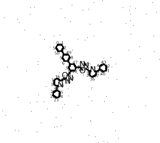 c1ccc(-c2ccc(-c3cc(-c4nnc(-c5cccc(-c6ccccc6)n5)o4)cc(-c4nnc(-c5cccc(-c6ccccc6)n5)o4)c3)cc2)cc1